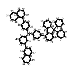 c1ccc(C2(c3ccccc3)c3ccccc3-c3c(-c4ccc(N(c5ccc(-c6cccc7ccccc67)cc5)c5cccc(-c6ccc7ccccc7c6)c5)cc4)cccc32)cc1